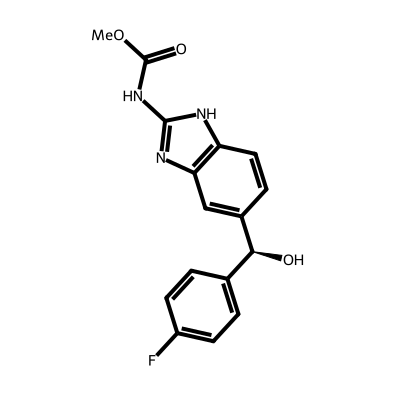 COC(=O)Nc1nc2cc([C@@H](O)c3ccc(F)cc3)ccc2[nH]1